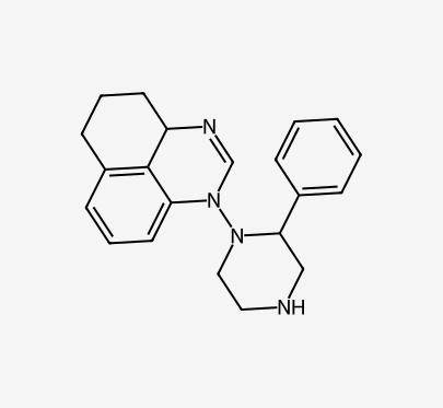 C1=NC2CCCc3cccc(c32)N1N1CCNCC1c1ccccc1